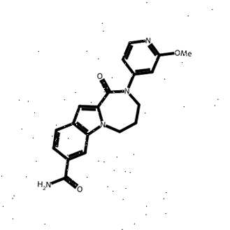 COc1cc(N2CCCn3c(cc4ccc(C(N)=O)cc43)C2=O)ccn1